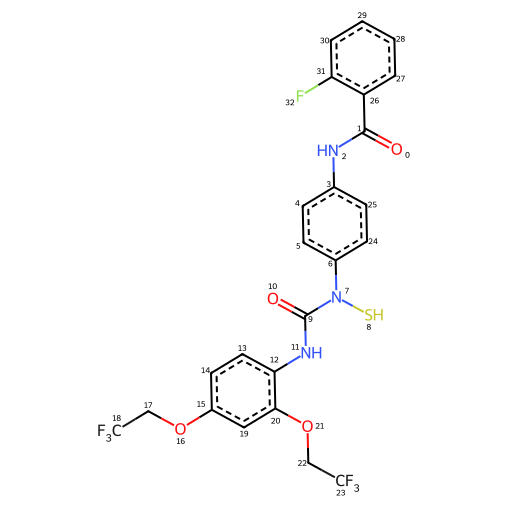 O=C(Nc1ccc(N(S)C(=O)Nc2ccc(OCC(F)(F)F)cc2OCC(F)(F)F)cc1)c1ccccc1F